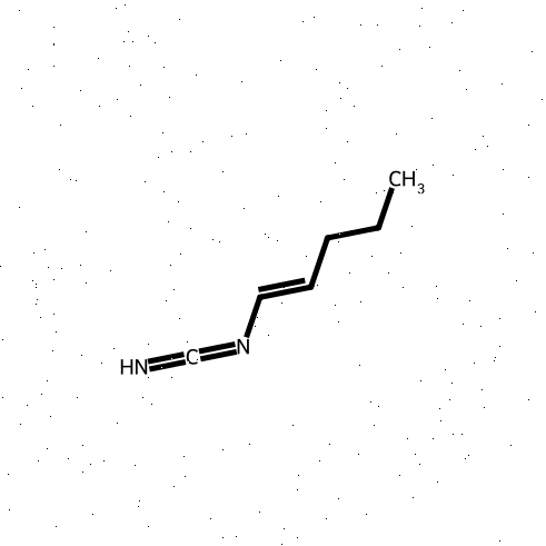 CCCC=CN=C=N